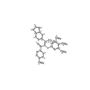 COc1ccc(C(=O)/C(Cc2cc(OC)c(OC)c(OC)c2)=C(/C(=O)O)c2ccc3nsnc3c2)cc1